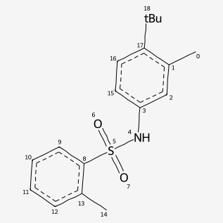 Cc1cc(NS(=O)(=O)c2ccccc2C)ccc1C(C)(C)C